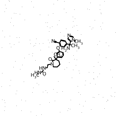 CCC1(c2cccc(Oc3cc(C(C)(N)c4cncn4C)ccc3C#N)c2)CCCCN(CCNC(=O)NC)C1=O